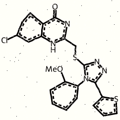 COc1ccccc1-n1c(SCc2nc(=O)c3ccc(Cl)cc3[nH]2)nnc1-c1cccs1